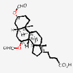 C[C@]12CC[C@@H](OC=O)C[C@H]1C[C@H](OC=O)[C@@H]1[C@@H]2CC[C@]2(C)[C@@H](CCCC(=O)O)CC[C@@H]12